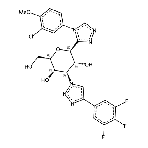 COc1ccc(-n2cnnc2[C@@H]2O[C@H](CO)[C@H](O)[C@H](n3cc(-c4cc(F)c(F)c(F)c4)nn3)[C@H]2O)cc1Cl